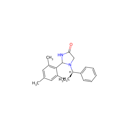 Cc1cc(C)c(C2NC(=O)CN2[C@H](C)c2ccccc2)c(C)c1